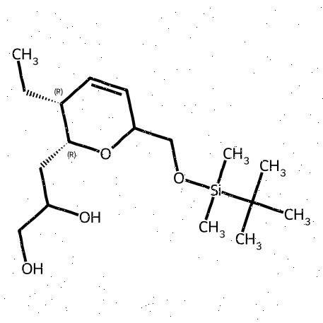 CC[C@@H]1C=CC(CO[Si](C)(C)C(C)(C)C)O[C@@H]1CC(O)CO